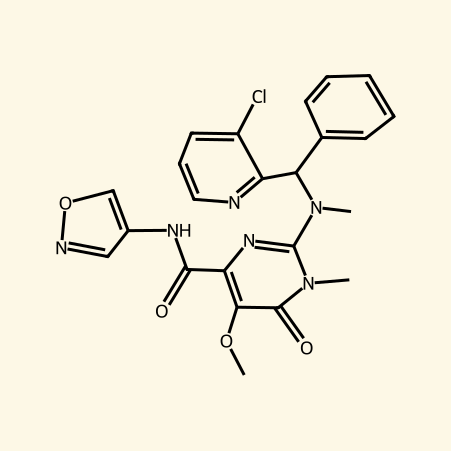 COc1c(C(=O)Nc2cnoc2)nc(N(C)C(c2ccccc2)c2ncccc2Cl)n(C)c1=O